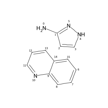 Nc1cc[nH]n1.c1ccc2ncccc2c1